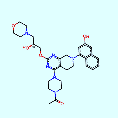 CC(=O)N1CCN(c2nc(OC[C@@H](O)CN3CCOCC3)nc3c2CCN(c2cc(O)cc4ccccc24)C3)CC1